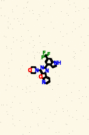 FC(F)(F)c1cc(-c2nc(N3CCOCC3)c3oc4ncccc4c3n2)c2cc[nH]c2c1